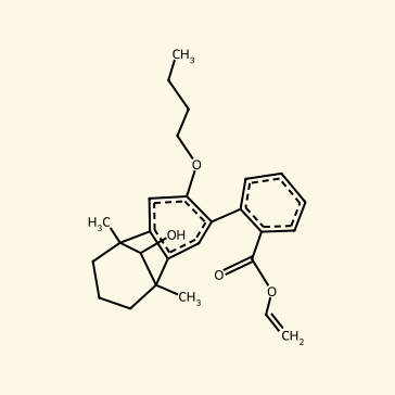 C=COC(=O)c1ccccc1-c1cc2c(cc1OCCCC)C1(C)CCCC2(C)C1O